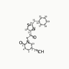 C#Cc1ccc(=O)n(CC(=O)c2csc(Cc3ccccc3)n2)c1